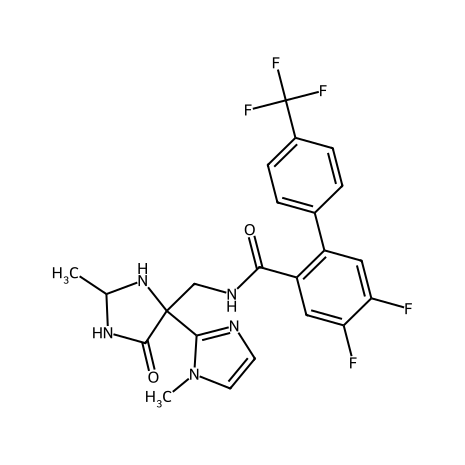 CC1NC(=O)C(CNC(=O)c2cc(F)c(F)cc2-c2ccc(C(F)(F)F)cc2)(c2nccn2C)N1